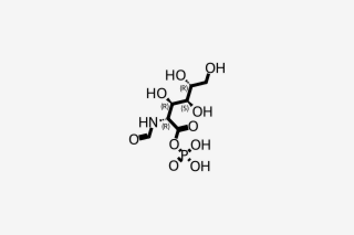 O=CN[C@@H](C(=O)OP(=O)(O)O)[C@@H](O)[C@H](O)[C@H](O)CO